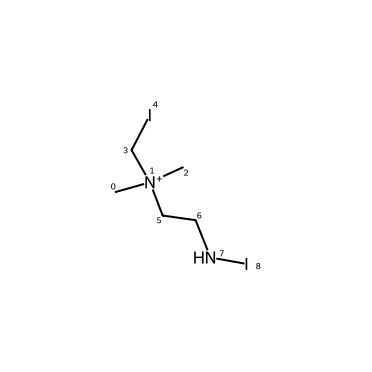 C[N+](C)(CI)CCNI